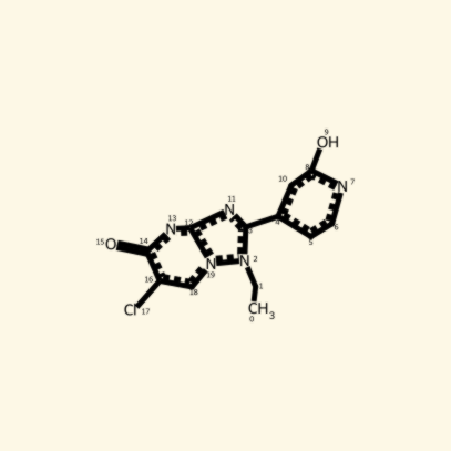 CCn1c(-c2ccnc(O)c2)nc2nc(=O)c(Cl)cn21